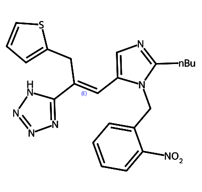 CCCCc1ncc(/C=C(\Cc2cccs2)c2nnn[nH]2)n1Cc1ccccc1[N+](=O)[O-]